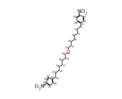 O=[N+]([O-])c1ccc(CCCCCCCCOCCCCCCCCc2ccc([N+](=O)[O-])cc2)cc1